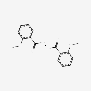 COc1ccccc1C(=O)OOC(=O)c1ccccc1OC